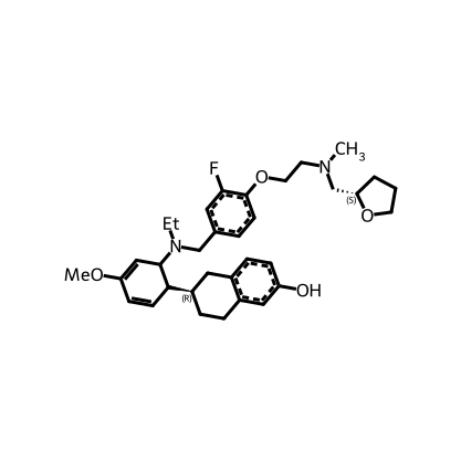 CCN(Cc1ccc(OCCN(C)C[C@@H]2CCCO2)c(F)c1)C1C=C(OC)C=CC1[C@@H]1CCc2cc(O)ccc2C1